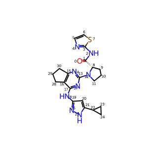 O=C(Nc1nccs1)[C@@H]1CCCN1c1nc2c(c(Nc3cc(C4CC4)[nH]n3)n1)CCC2